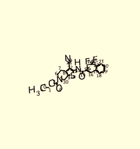 CCOC(=O)N1CCc2c(sc(NC(=O)/C=C/c3ccccc3C(F)(F)F)c2C#N)C1